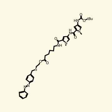 Cn1cc(NC(=O)c2cc(NC(=O)OC(C)(C)C)cn2C)cc1C(=O)NCCCCCC(=O)OCCSCc1ccc(N=Nc2ccccc2)cc1